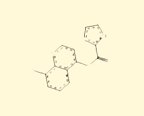 C=C(Sc1ccnc2c(N)cccc12)c1ncc[nH]1